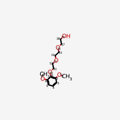 COc1cccc(OC)c1OCCOCCOCCO